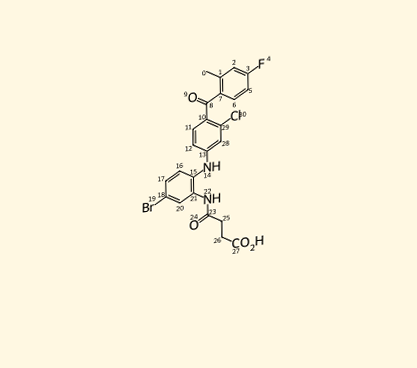 Cc1cc(F)ccc1C(=O)c1ccc(Nc2ccc(Br)cc2NC(=O)CCC(=O)O)cc1Cl